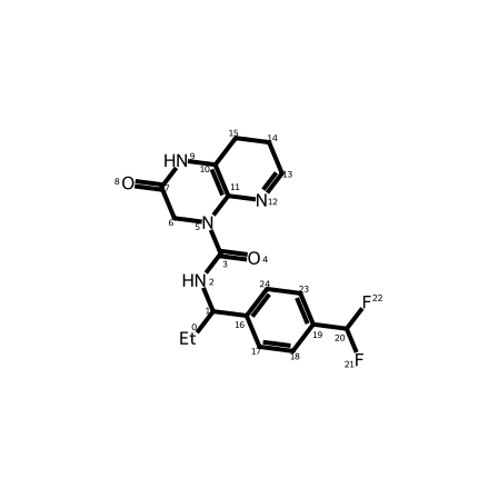 CCC(NC(=O)N1CC(=O)NC2=C1N=CCC2)c1ccc(C(F)F)cc1